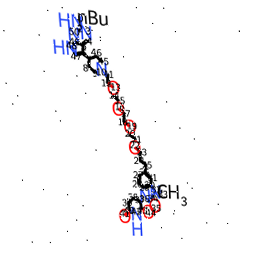 CCCCNc1ncc2c(C3CCN(CCOCCOCCOCCOCCCc4ccc5c(c4)n(C)c(=O)n5[C@H]4CCC(=O)NC4=O)CC3)c[nH]c2n1